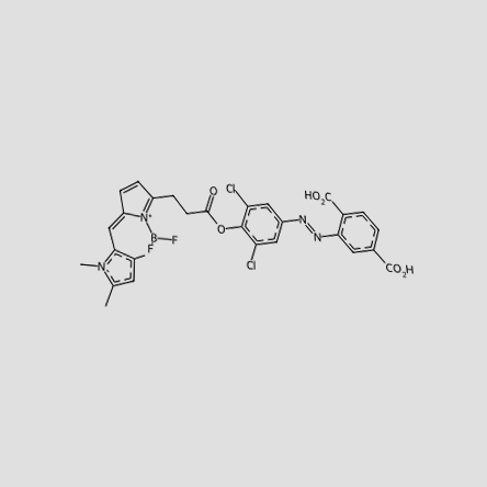 Cc1cc(C)n(C)c1/C=C1/C=CC(CCC(=O)Oc2c(Cl)cc(/N=N/c3cc(C(=O)O)ccc3C(=O)O)cc2Cl)=[N+]1B(F)F